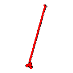 C=C(C)C(=O)OCCOCCOCCOCCOCCOCCOCCOCCOCCOCCOCCOCCOCCOCCOCCOCCOCCOCCOCCOCCOCCOCCOCCOCc1cc(C)c(C(=O)P(=O)(C(=O)c2c(C)cc(C)cc2C)c2ccccc2)c(C)c1